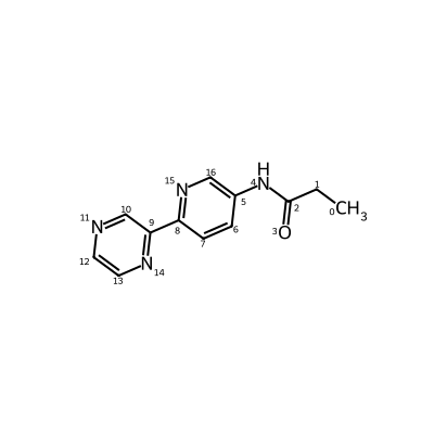 CCC(=O)Nc1ccc(-c2cnccn2)nc1